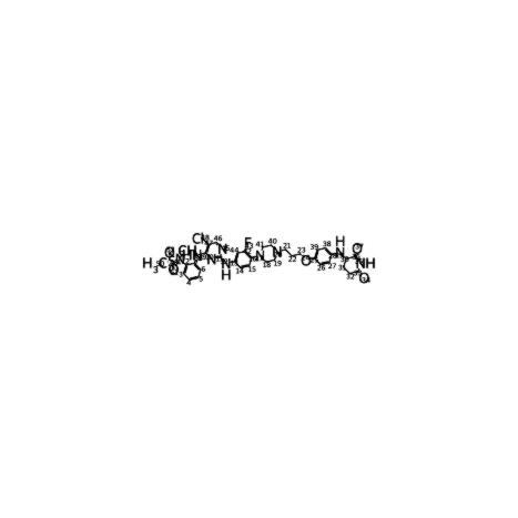 CN(c1ccccc1Nc1nc(Nc2ccc(N3CCN(CCCOc4ccc(NC5CCC(=O)NC5=O)cc4)CC3)c(F)c2)ncc1Cl)S(C)(=O)=O